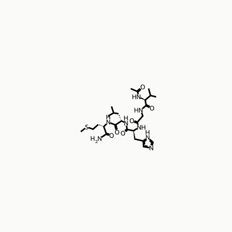 CSCC[C@H](NC(=O)[C@H](CC(C)C)NC(=O)[C@H](Cc1cnc[nH]1)NC(=O)CNC(=O)[C@@H](NC(C)=O)C(C)C)C(N)=O